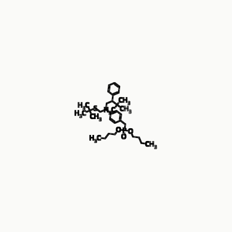 CCCCOP(=O)(Cc1ccc(C(CSC(C)(C)C)CC(c2ccccc2)C(C)(C)C)cc1)OCCCC